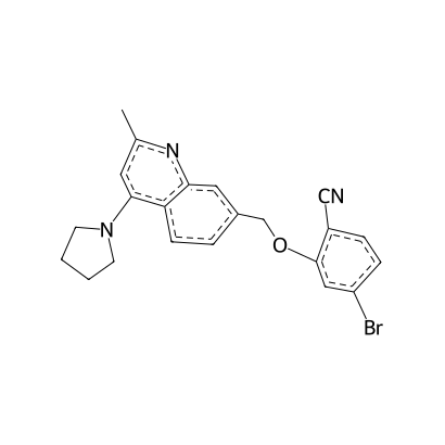 Cc1cc(N2CCCC2)c2ccc(COc3cc(Br)ccc3C#N)cc2n1